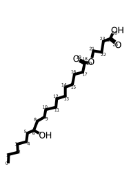 CCCCCCC(O)CCCCCCCCCCC(=O)OCCCC(=O)O